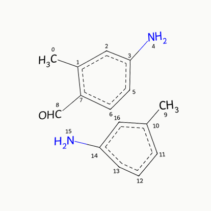 Cc1cc(N)ccc1C=O.Cc1cccc(N)c1